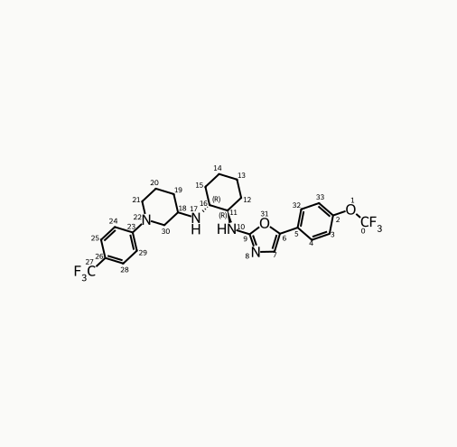 FC(F)(F)Oc1ccc(-c2cnc(N[C@@H]3CCCC[C@H]3NC3CCCN(c4ccc(C(F)(F)F)cc4)C3)o2)cc1